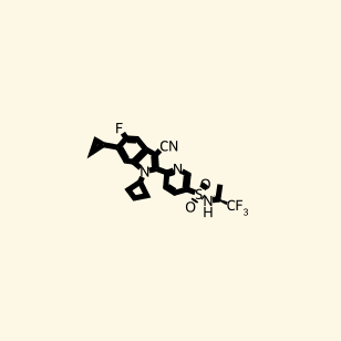 C[C@H](NS(=O)(=O)c1ccc(-c2c(C#N)c3cc(F)c(C4CC4)cc3n2C2CCC2)nc1)C(F)(F)F